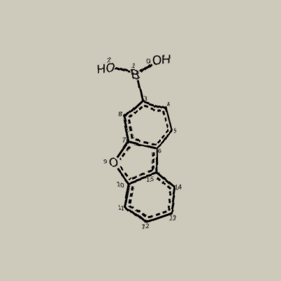 OB(O)c1ccc2c(c1)oc1ccccc12